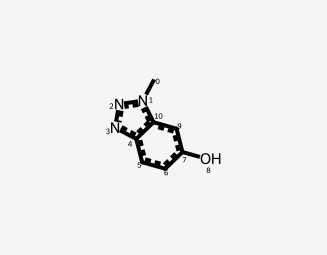 Cn1nnc2ccc(O)cc21